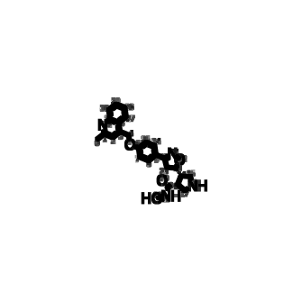 Cc1cc(COc2ccc(C3=NOC([C@@H]4CNC[C@@H]4C(=O)NO)C3)cc2)c2ccccc2n1